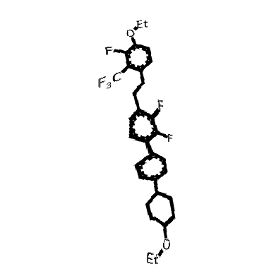 CCOc1ccc(CCc2ccc(-c3ccc(C4CCC(OCC)CC4)cc3)c(F)c2F)c(C(F)(F)F)c1F